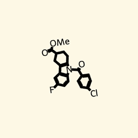 COC(=O)C1CCc2c(c3cc(F)ccc3n2C(=O)c2ccc(Cl)cc2)C1